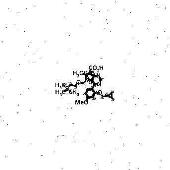 COc1ccc(-c2ncnc3c(C(=O)O)c(C)n(COCC[Si](C)(C)C)c23)c(OCC2CC2)c1